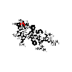 CC(O)[C@H](NC(=O)[C@H](Cc1ccccc1)NC(=O)[C@@H](NC(=O)[C@H](CCCCN)NC(=O)[C@@H](Cc1c[nH]c2ccccc12)NC(=O)[C@H](Cc1ccccc1)NC(=O)[C@H](Cc1ccccc1)NC(=O)[C@@H](CCCNC(=N)N)NC(=O)[C@H](CCCNC(=N)N)NC(=O)[C@@H](N)CS)C(C)O)C(=O)N[C@@H](CO)C(=O)N[C@@H](CS)C(=O)O